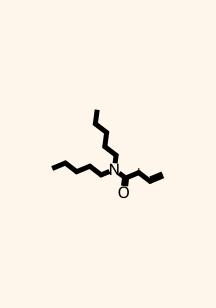 C=C[CH]C(=O)N(CCCCC)CCCCC